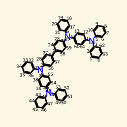 c1ccc(N(c2ccccc2)c2ccc(N(c3ccccc3)c3ccc(-c4ccc(N(c5ccccc5)c5ccc(N(c6ccccc6)c6ccccc6)cc5)cc4)cc3)cc2)cc1